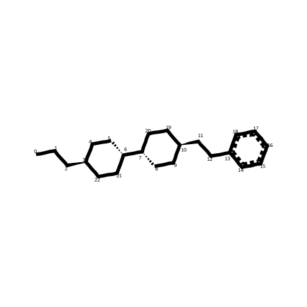 CCC[C@H]1CC[C@H]([C@H]2CC[C@H](CCc3ccccc3)CC2)CC1